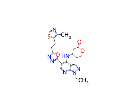 CCn1ncc2c(NC3CCOC(=O)C3)c(-c3nnc(CCc4scnc4C)o3)cnc21